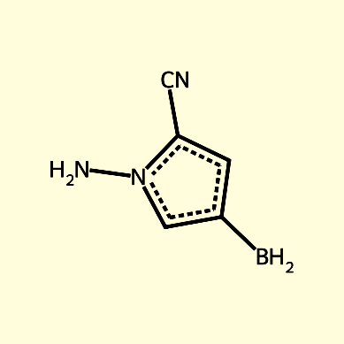 Bc1cc(C#N)n(N)c1